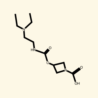 CCN(CC)CCNC(=O)OC1CN(C(=O)O)C1